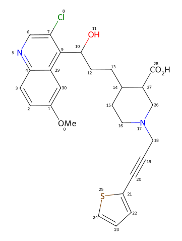 COc1ccc2ncc(Cl)c(C(O)CCC3CCN(CC#Cc4cccs4)CC3C(=O)O)c2c1